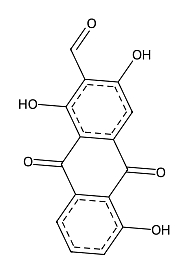 O=Cc1c(O)cc2c(c1O)C(=O)c1cccc(O)c1C2=O